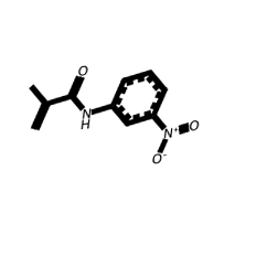 C=C(C)C(=O)Nc1cccc([N+](=O)[O-])c1